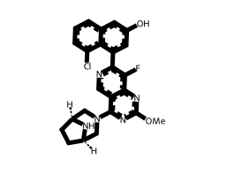 COc1nc(N2C[C@H]3CC[C@@H](C2)N3)c2cnc(-c3cc(O)cc4cccc(Cl)c34)c(F)c2n1